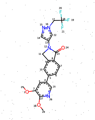 COc1cc(-c2ccc3c(c2)CN(c2cnn(CC(F)(F)F)c2)C3=O)cnc1OC